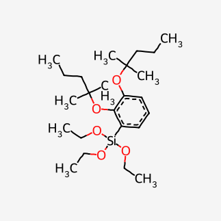 CCCC(C)(C)Oc1cccc([Si](OCC)(OCC)OCC)c1OC(C)(C)CCC